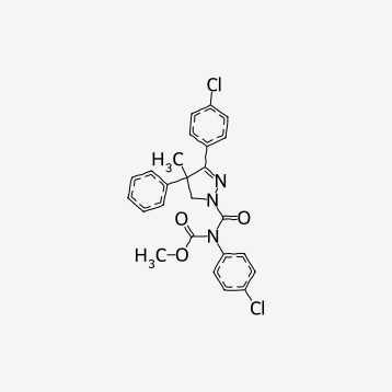 COC(=O)N(C(=O)N1CC(C)(c2ccccc2)C(c2ccc(Cl)cc2)=N1)c1ccc(Cl)cc1